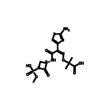 COP(=O)(O)N1C[C@H](NC(=O)C(=NOC(C)(C)C(=O)O)c2csc(N)n2)C1=O